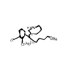 COCCCC[C@@](O)(c1cccc(Cl)c1Cl)[C@@H]1CCCNC1